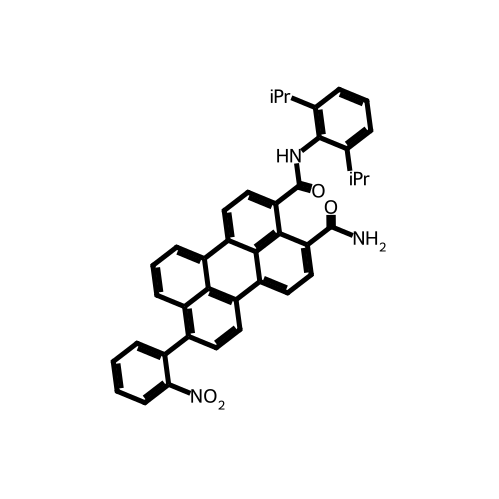 CC(C)c1cccc(C(C)C)c1NC(=O)c1ccc2c3cccc4c(-c5ccccc5[N+](=O)[O-])ccc(c5ccc(C(N)=O)c1c52)c43